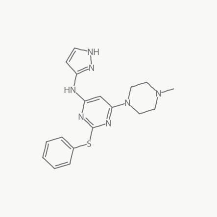 CN1CCN(c2cc(Nc3cc[nH]n3)nc(Sc3ccccc3)n2)CC1